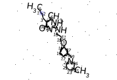 C/C=C/Cc1c(C)[nH]c(NCCCOc2cccc(CN3CCC[C@@H](C)C3)c2)nc1=O